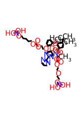 COc1ccccc1Oc1c(OCCOC(=O)OCCCCCON(O)O)nc(-c2ncccn2)nc1N(C(C)OC(=O)OCCOCCON(O)O)S(=O)(=O)c1ccc(C(C)(C)C)cc1